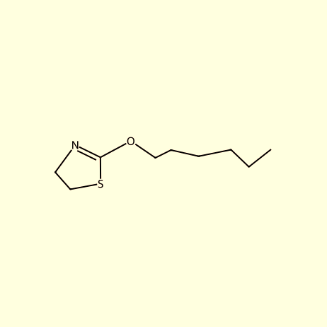 CCCCCCOC1=NCCS1